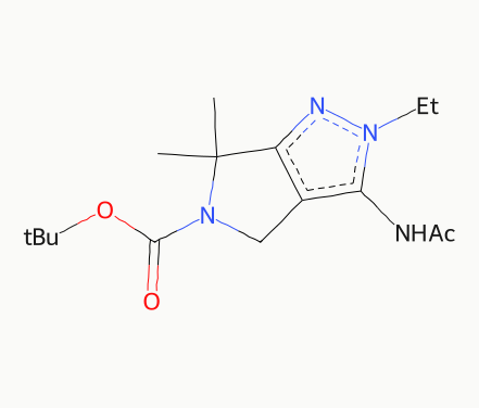 CCn1nc2c(c1NC(C)=O)CN(C(=O)OC(C)(C)C)C2(C)C